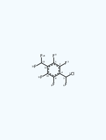 Fc1c(F)c(C(F)Cl)c(F)c(F)c1C(F)F